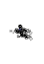 CC(C)(C)OC(=O)N1C(=O)/C(=C\c2ccccc2)N(C(=O)OC(C)(C)C)c2cc3c(Br)nn(C(=O)OC(C)(C)C)c3cc21